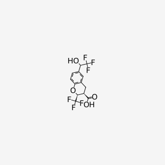 O=C(O)[C@@H]1Cc2cc(C(O)C(F)(F)F)ccc2O[C@@H]1C(F)(F)F